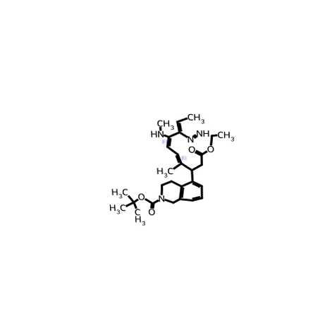 CC=C(N=N)/C(=C\C=C(/C)C(CC(=O)OCC)c1cccc2c1CCN(C(=O)OC(C)(C)C)C2)NC